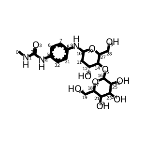 CNC(=O)Nc1ccc(NC2C[C@@H](O)C(OC3OC(CO)C(O)C(O)C3O)C(CO)O2)cc1